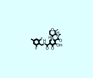 Cc1cc(F)c(CNC(=O)c2cn3c(c(O)c2=O)C(=O)N(C)[C@@H]2[C@H](C)OCC[C@@H]23)c(F)c1